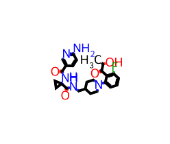 CC(O)C(=O)c1c(F)cccc1N1CCC(CNC(=O)C2(NC(=O)c3ccc(N)nc3)CC2)CC1